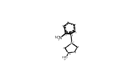 Nc1ccccc1N1CC[C@@H](O)C1